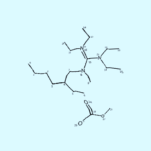 CCCCC(CC)CN(C)C(N(CC)CC)=[N+](CC)CC.COC(=O)[O-]